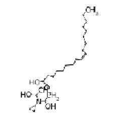 CC(O)N(C(C)O)C1CC1.CCCCCCCC/C=C\CCCCCCCC(=O)O